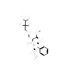 COC(=O)[C@H](COCC(F)(F)C(F)F)NS(=O)(=O)c1ccccc1[N+](=O)[O-]